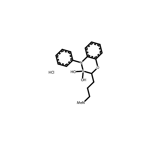 CNCCCC1Oc2ccccc2N(c2ccccc2)S1(O)O.Cl